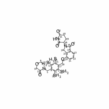 Bc1c(B)c(CN2CCOCC2=O)c(B)c(B)c1COc1cccc2c1CN(C1CCC(=O)NC1=O)C2=O